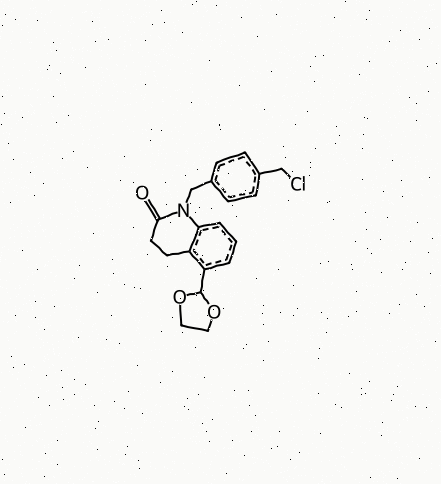 O=C1CCc2c(C3OCCO3)cccc2N1Cc1ccc(CCl)cc1